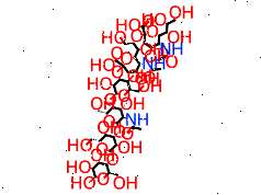 CC(=O)N[C@H]1[C@H](O[C@H]2[C@@H](O)[C@@H](CO)O[C@@H](O[C@H]3[C@H](O)[C@@H](O)[C@H](O)O[C@@H]3CO)[C@@H]2O)O[C@H](CO)[C@@H](O[C@@H]2O[C@H](CO)[C@H](O)[C@H](O[C@]3(C(=O)O)C[C@H](O)[C@@H](NC(C)=O)[C@H]([C@H](O)[C@@H](CO)O[C@]4(C(=O)O)C[C@H](O)[C@@H](NC(C)=O)[C@H]([C@H](O)[C@H](O)CO)O4)O3)[C@H]2O)[C@@H]1O